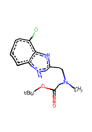 CN(Cc1nc2c(Cl)cccc2[nH]1)C(=O)OC(C)(C)C